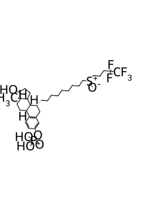 C[C@]12CC[C@@H]3c4ccc(OP(=O)(O)O)cc4C[C@@H](CCCCCCCCC[S+]([O-])CCCC(F)(F)C(F)(F)F)[C@H]3[C@@H]1CC[C@@H]2O